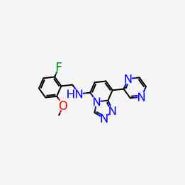 COc1cccc(F)c1CNc1ccc(-c2cnccn2)c2nncn12